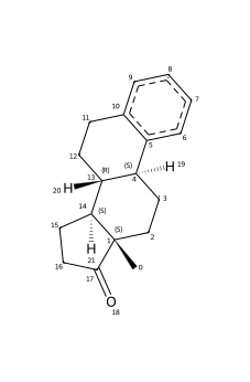 C[C@]12C[CH][C@@H]3c4cc[c]cc4CC[C@H]3[C@@H]1CCC2=O